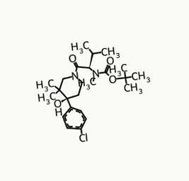 CC(C)[C@H](C(=O)N1CC[C@](O)(c2ccc(Cl)cc2)C(C)(C)C1)N(C)C(=O)OC(C)(C)C